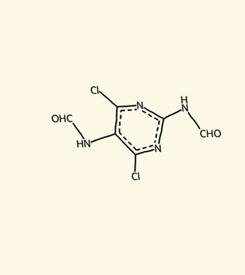 O=CNc1nc(Cl)c(NC=O)c(Cl)n1